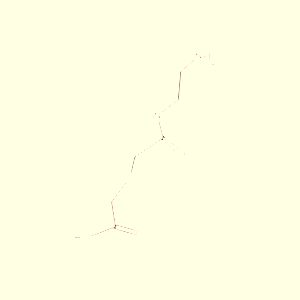 NCCNC(=O)CSCC(=O)O